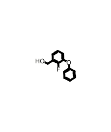 OCc1cccc(Oc2ccccc2)c1F